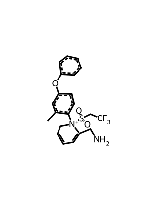 Cc1cc(Oc2ccccc2)ccc1[N+]1(S(=O)(=O)CC(F)(F)F)CC=CC=C1CN